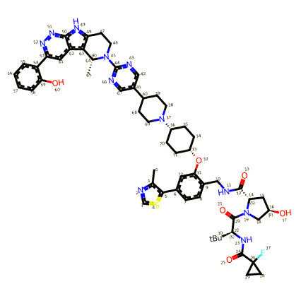 Cc1ncsc1-c1ccc(CNC(=O)[C@@H]2C[C@@H](O)CN2C(=O)[C@@H](NC(=O)C2(F)CC2)C(C)(C)C)c(O[C@H]2CC[C@@H](N3CCC(c4cnc(N5CCc6[nH]c7nnc(-c8ccccc8O)cc7c6[C@H]5C)nc4)CC3)CC2)c1